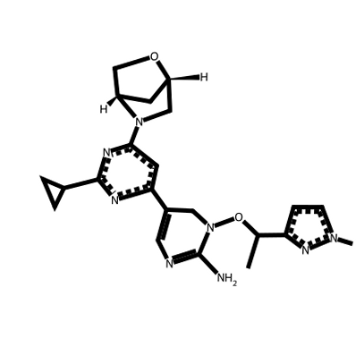 CC(ON1CC(c2cc(N3C[C@@H]4C[C@H]3CO4)nc(C3CC3)n2)=CN=C1N)c1ccn(C)n1